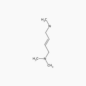 C[N]C/C=C/CN(C)C